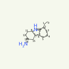 CCc1cccc2c3c([nH]c12)CC[C@@H](N)C3